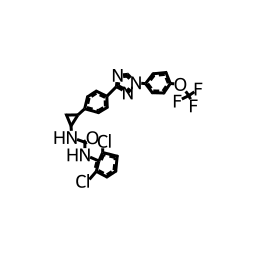 O=C(Nc1c(Cl)cccc1Cl)NC1CC1c1ccc(-c2ncn(-c3ccc(OC(F)(F)F)cc3)n2)cc1